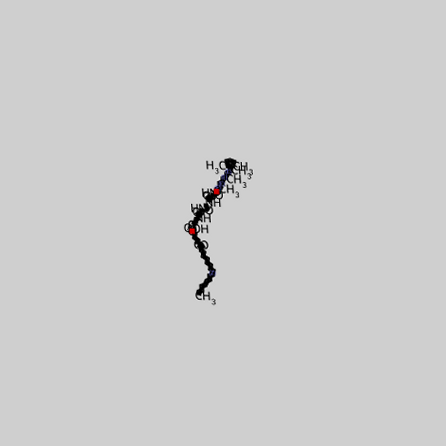 CCCCCCCC/C=C\CCCCCCCC(=O)OCCCOP(=O)(O)OCCNC(=O)CNC(=O)CNC(=O)CNC(=O)/C=C(C)/C=C/C=C(C)/C=C/C1=C(C)CCCC1(C)C